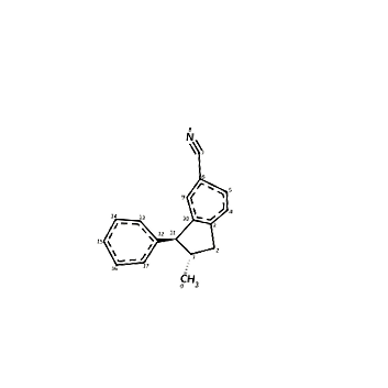 C[C@H]1Cc2ccc(C#N)cc2[C@@H]1c1ccccc1